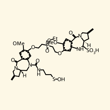 C=C1C[C@H]2CN(C(=O)NCCCSO)c3cc(OCCP(=O)(CCOc4cc5c(cc4OC)C(=O)N4CC(=C)C[C@H]4C(S(=O)(=O)O)N5)OCC)c(OC)cc3C(=O)N2C1